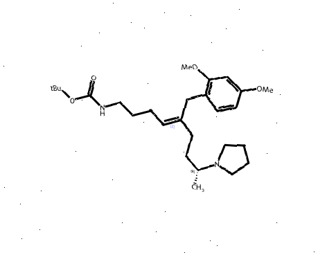 COc1ccc(C/C(=C\CCCNC(=O)OC(C)(C)C)CC[C@@H](C)N2CCCC2)c(OC)c1